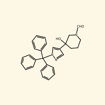 O=CN1CCCC(O)(c2cnn(C(c3ccccc3)(c3ccccc3)c3ccccc3)c2)C1